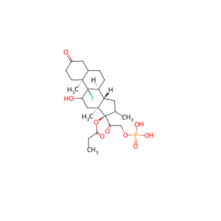 CCC(=O)O[C@]1(C(=O)COP(=O)(O)O)C(C)C[C@H]2[C@@H]3CCC4CC(=O)CC[C@]4(C)[C@@]3(F)C(O)C[C@@]21C